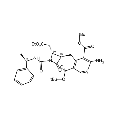 CCOC(=O)C[C@@H]1[C@@H](Cc2c(C(=O)OC(C)(C)C)cnc(N)c2C(=O)OC(C)(C)C)C(=O)N1C(=O)N[C@H](C)c1ccccc1